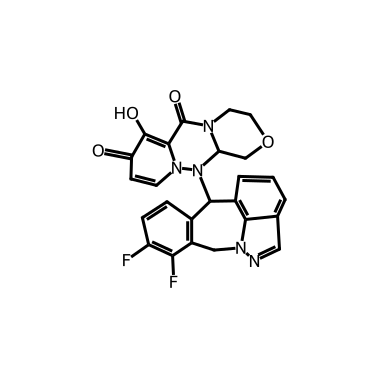 O=C1c2c(O)c(=O)ccn2N(C2c3ccc(F)c(F)c3Cn3ncc4cccc2c43)C2COCCN12